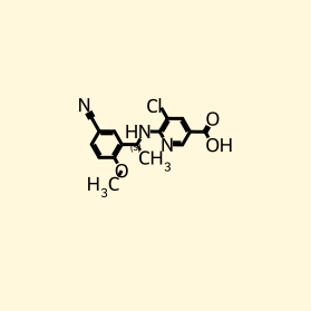 COc1ccc(C#N)cc1[C@H](C)Nc1ncc(C(=O)O)cc1Cl